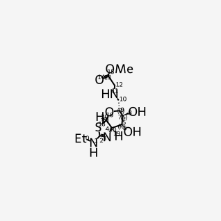 CCNC1=N[C@@H]2[C@@H](O)[C@H](O)[C@@H](CNCC(=O)OC)O[C@@H]2S1